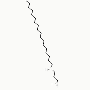 [2H]NCCCN([2H])CCCCCCCCCCCCCCCCCC